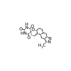 CC1=c2cc3c4c(ccc3cc2N=N1)OC1(CC=4)C(=O)NC(=O)NC1=O